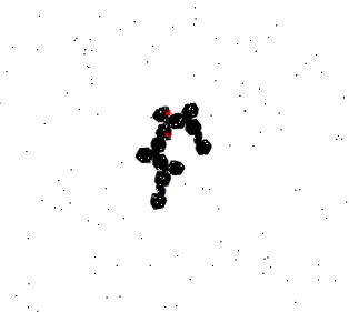 C(=Cc1ccc(N(c2ccccc2)c2ccc(N(c3ccccc3)c3ccc(-c4ccc(N(c5ccccc5)c5ccc(N(c6ccccc6)C6CCC(/C=C/c7ccccc7)CC6)cc5)cc4)cc3)cc2)cc1)c1ccccc1